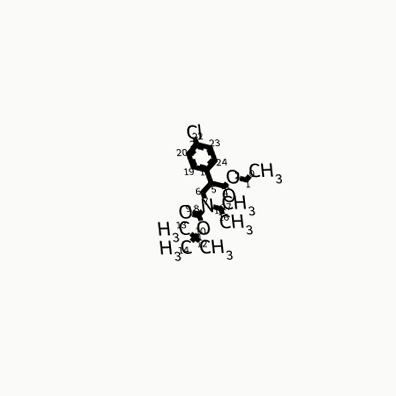 CCOC(=O)C(CN(C(=O)OC(C)(C)C)C(C)C)c1ccc(Cl)cc1